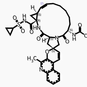 Cc1nc2ccccc2c2c1O[C@]1(C=C2)C[C@H]2C(=O)N[C@]3(C(=O)NS(=O)(=O)C4CC4)C[C@H]3/C=C\CCCCC[C@H](NC(=O)O)C(=O)N2C1